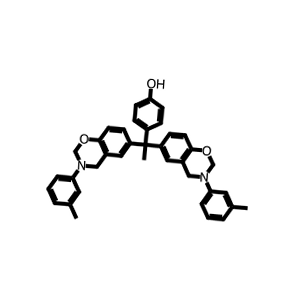 Cc1cccc(N2COc3ccc(C(C)(c4ccc(O)cc4)c4ccc5c(c4)CN(c4cccc(C)c4)CO5)cc3C2)c1